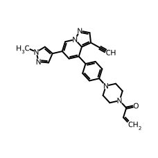 C#Cc1cnn2cc(-c3cnn(C)c3)cc(-c3ccc(N4CCN(C(=O)C=C)CC4)cc3)c12